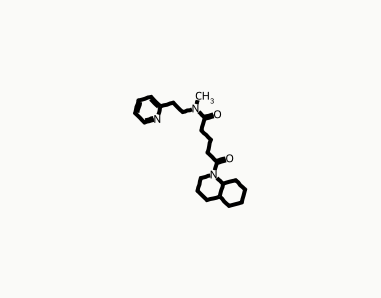 CN(CCc1ccccn1)C(=O)CCCC(=O)N1CCCC2CCCCC21